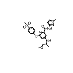 COCC(C)Nc1cc(Oc2ccc(S(C)(=O)=O)cc2)nc(C(=O)Nc2ccn(C)n2)n1